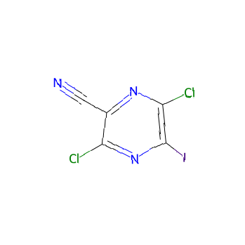 N#Cc1nc(Cl)c(I)nc1Cl